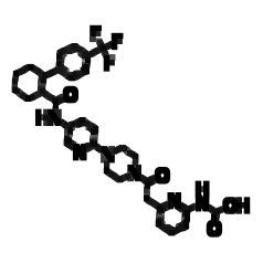 O=C(O)Nc1cccc(CC(=O)N2CCN(c3ccc(NC(=O)C4=C(c5ccc(C(F)(F)F)cc5)CCCC4)cn3)CC2)n1